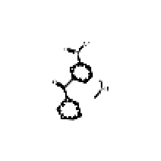 CNC.O=C(c1ccccc1)c1cccc([N+](=O)[O-])c1